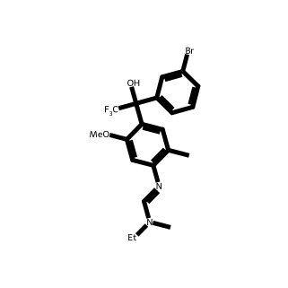 CCN(C)/C=N/c1cc(OC)c(C(O)(c2cccc(Br)c2)C(F)(F)F)cc1C